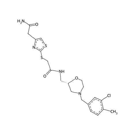 Cc1ccc(CN2CCO[C@@H](CNC(=O)CSc3nc(CC(N)=O)cs3)C2)cc1Cl